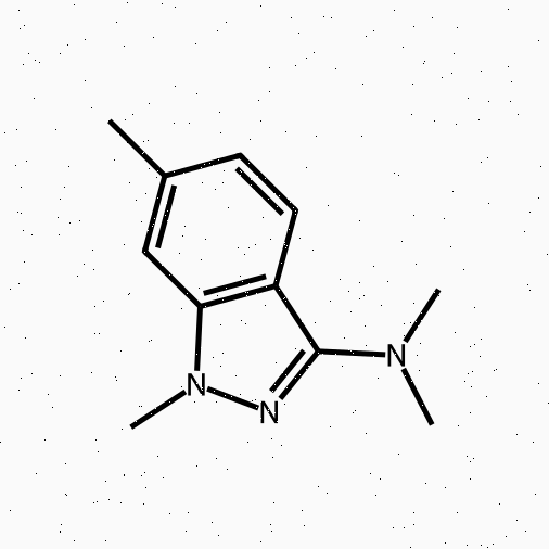 Cc1ccc2c(N(C)C)nn(C)c2c1